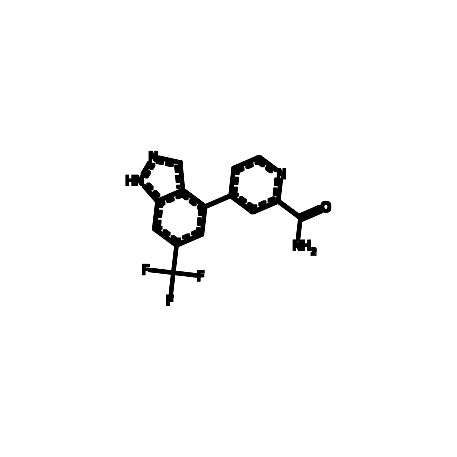 NC(=O)c1cc(-c2cc(C(F)(F)F)cc3[nH]ncc23)ccn1